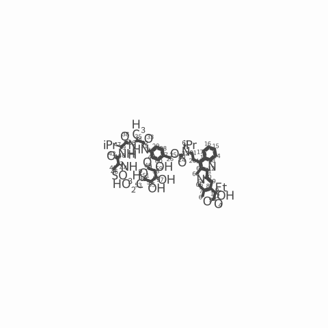 CC[C@@]1(O)C(=O)OCC2=C1C=C1c3nc4ccccc4c(CCN(C(=O)OCc4ccc(NC(=O)[C@H](C)NC(=O)[C@@H](NC(=O)[C@@H](N)CS(=O)(=O)O)C(C)C)c(O[C@@H]5O[C@H](C(=O)O)[C@@H](O)[C@H](O)[C@H]5O)c4)C(C)C)c3CN1C2